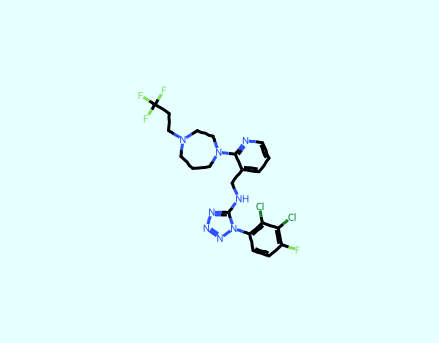 Fc1ccc(-n2nnnc2NCc2cccnc2N2CCCN(CCC(F)(F)F)CC2)c(Cl)c1Cl